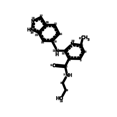 Cc1ccc(C(=O)NCCO)c(Nc2ccc3cn[nH]c3c2)n1